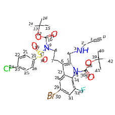 C#CCNCc1c(CCN(C(=O)OC(C)(C)C)S(=O)(=O)c2ccc(Cl)cc2)c2cc(Br)cc(F)c2n1C(=O)OC(C)(C)C